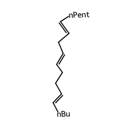 [CH2]CCC/C=C/CC/C=C/C/C=C/CCCCC